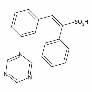 O=S(=O)(O)C(=Cc1ccccc1)c1ccccc1.c1ncncn1